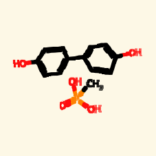 CP(=O)(O)O.Oc1ccc(-c2ccc(O)cc2)cc1